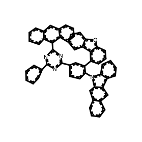 c1ccc(-c2nc(-c3ccc(-n4c5ccccc5c5cc6ccccc6cc54)c(-c4cccc5oc6ccccc6c45)c3)nc(-c3c4ccccc4cc4ccccc34)n2)cc1